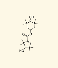 CC1(C)C=C(C(=O)OC2CC(C)(C)N(O)C(C)(C)C2)C(C)(C)C1O